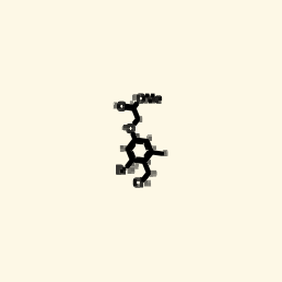 COC(=O)COc1cc(C)c(CCl)c(Br)c1